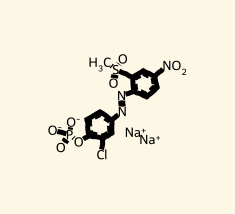 CS(=O)(=O)c1cc([N+](=O)[O-])ccc1N=Nc1ccc(OP(=O)([O-])[O-])c(Cl)c1.[Na+].[Na+]